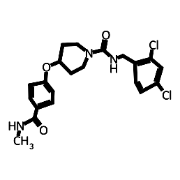 CNC(=O)c1ccc(OC2CCN(C(=O)NCc3ccc(Cl)cc3Cl)CC2)cc1